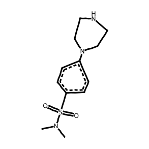 CN(C)S(=O)(=O)c1ccc(N2CCNCC2)cc1